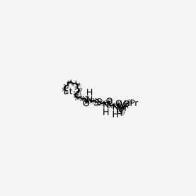 CC/C=C\C/C=C\C/C=C\C/C=C\C/C=C\CCCC(=O)NCCSSCCNC(=O)CCNC(=O)[C@H](OI)C(C)(C)COC(C)C